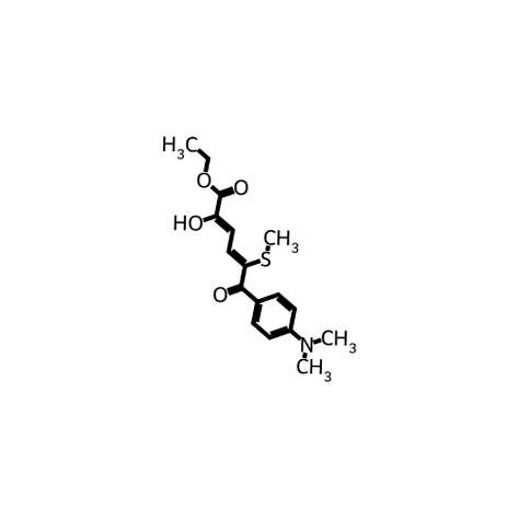 CCOC(=O)C(O)=CC=C(SC)C(=O)c1ccc(N(C)C)cc1